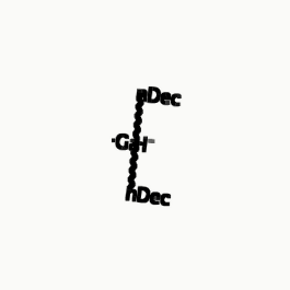 CCCCCCCCCCCCCCCCCCC[CH2][Ga][CH2]CCCCCCCCCCCCCCCCCCC.[H-]